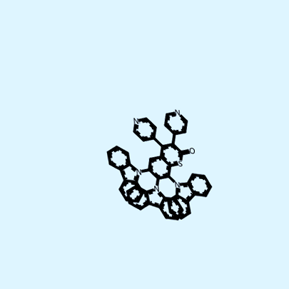 O=c1sc2c(-n3c4ccccc4c4ccccc43)c(-n3c4ccccc4c4ccccc43)c(-n3c4ccccc4c4ccccc43)cc2c(-c2ccncc2)c1-c1ccncc1